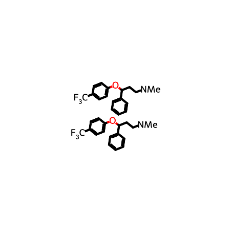 CNCCC(Oc1ccc(C(F)(F)F)cc1)c1ccccc1.CNCCC(Oc1ccc(C(F)(F)F)cc1)c1ccccc1